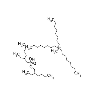 CCCCC(CC)COP(=O)(O)CC(CC)CCCC.CCCCCCCC[N+](C)(CCCCCCCC)CCCCCCCC